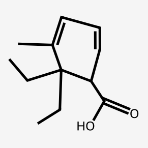 CCC1(CC)C(C)=CC=CC1C(=O)O